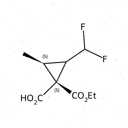 CCOC(=O)[C@]1(C(=O)O)C(C(F)F)[C@@H]1C